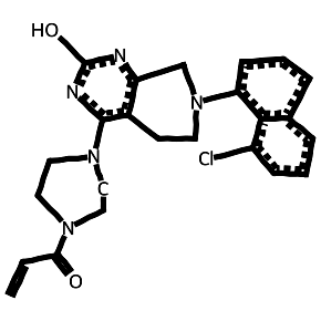 C=CC(=O)N1CCN(c2nc(O)nc3c2CCN(c2cccc4cccc(Cl)c24)C3)CC1